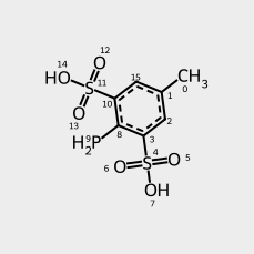 Cc1cc(S(=O)(=O)O)c(P)c(S(=O)(=O)O)c1